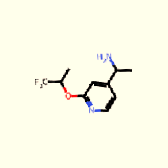 CC(N)c1ccnc(OC(C)C(F)(F)F)c1